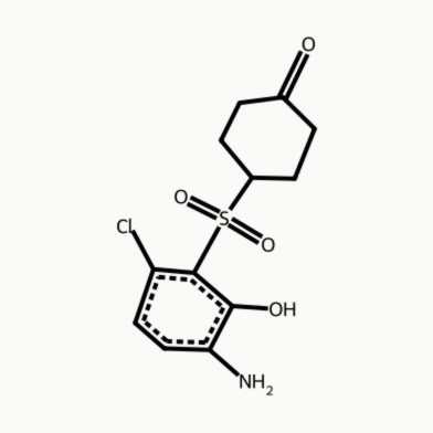 Nc1ccc(Cl)c(S(=O)(=O)C2CCC(=O)CC2)c1O